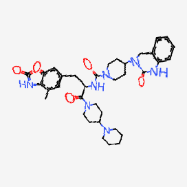 Cc1cc(CC(NC(=O)N2CCC(N3Cc4ccccc4NC3=O)CC2)C(=O)N2CCC(N3CCCCC3)CC2)cc2oc(=O)[nH]c12